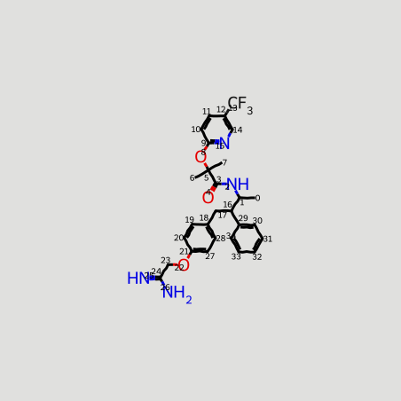 CC(NC(=O)C(C)(C)Oc1ccc(C(F)(F)F)cn1)C(Cc1ccc(OCC(=N)N)cc1)c1ccccc1